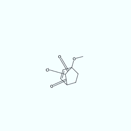 COC12C=CC(CC1)C(=O)C(Cl)C2=O